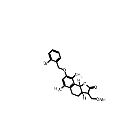 COCC1C(=O)O[C@H]2c3c(C)c(OCc4ccccc4Br)cc(C)c3CC[C@@H]12